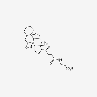 C[C@]12CCCCC1C[C@H](O)[C@@H]1C2CC[C@@]2(C)C1CC[C@@H]2[C@@H](F)CCC(=O)NCCS(=O)(=O)O